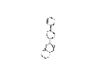 c1ccc(-c2ccc(C3CN4CCCCC4CO3)cc2)cc1